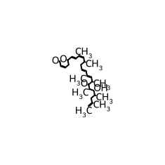 C/C=C(\C)CC(C)C(O)C(C)C(=O)C(C)/C=C(C)/C=C/CC(C)/C=C(C)\C=C\C1CC=CC(=O)O1